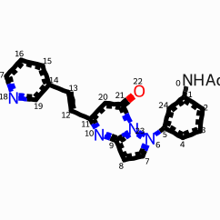 CC(=O)Nc1cccc(-n2ccc3nc(/C=C/c4cccnc4)cc(=O)n32)c1